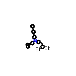 CCC1CC(CC)CC(Cc2ccc(N(c3ccc(-c4ccc(-c5ccccc5)cc4)cc3)c3ccc(C45CC6CC(CC(C6)C4)C5)cc3)cc2)C1